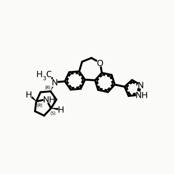 CN(c1ccc2c(c1)CCOc1cc(-c3cn[nH]c3)ccc1-2)[C@H]1C[C@H]2CC[C@@H](C1)N2